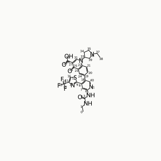 CCNC(=O)Nc1cc(-c2nc(C(F)(F)F)cs2)c(-c2ccc3c(c2)c(=O)c(C(=O)O)cn3C2CCN(CC)C2)cn1